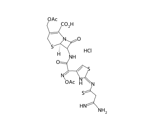 CC(=O)OCC1=C(C(=O)O)N2C(=O)C(NC(=O)/C(=N/OC(C)=O)c3cs/c(=N/C(=S)CC(=N)N)[nH]3)[C@H]2SC1.Cl